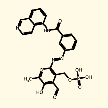 Cc1nc(N=Nc2cccc(C(=O)Nc3cccc4cnccc34)c2)c(COP(=O)(O)O)c(C=O)c1O